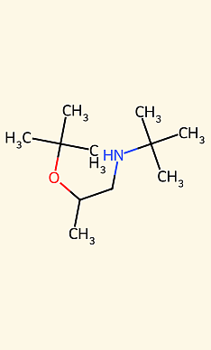 CC(CNC(C)(C)C)OC(C)(C)C